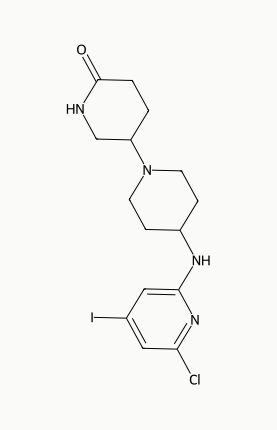 O=C1CCC(N2CCC(Nc3cc(I)cc(Cl)n3)CC2)CN1